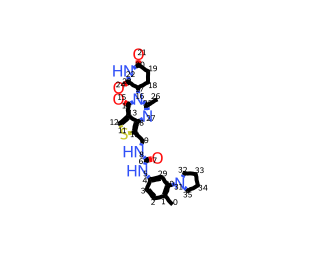 Cc1ccc(NC(=O)NCc2scc3c(=O)n(C4CCC(=O)NC4=O)c(C)nc23)cc1N1CCCC1